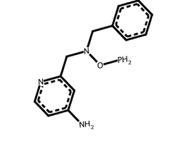 Nc1ccnc(CN(Cc2ccccc2)OP)c1